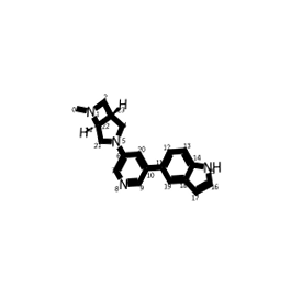 CN1C[C@@H]2CN(c3cncc(-c4ccc5[nH]ccc5c4)c3)C[C@H]21